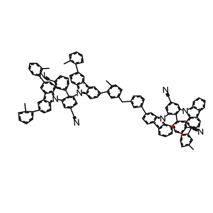 Cc1cccc(-c2ccc3c4ccccc4n(-c4cc(C#N)cc(-n5c6ccccc6c6ccc(-c7cccc(Cc8ccc(C)c(-c9ccc%10c(c9)c9cc(-c%11ccccc%11C)ccc9n%10-c9cc(C#N)cc(-n%10c%11ccc(-c%12ccccc%12C)cc%11c%11cc(-c%12ccccc%12C)ccc%11%10)c9-c9cccc(C#N)c9)c8)c7)cc65)c4-c4cccc(C#N)c4)c3c2)c1